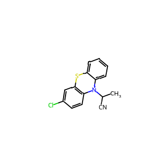 CC(C#N)N1c2ccccc2Sc2cc(Cl)ccc21